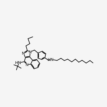 CCCCCCCCCCCNCc1ccc(Cn2c(CCCC)nc3c(NC(C)(C)C)nc4ccccc4c32)cc1